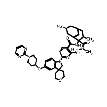 CC1CC2CC(C)C(NC(=O)c3cnc(N4CC5(CCOCC5)c5cc(OC6CCN(c7ncccn7)CC6)ccc54)nc3C(F)(F)F)(C(=O)N(C)C)C(C1)C2